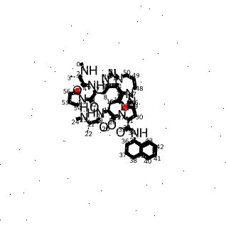 CN[C@@H](C)C(=O)N[C@@H](Cc1nnn2c1-c1c(C[C@H](NC(=O)[C@H](C)NC)C(=O)N3CCC[C@H]3C(=O)N[C@@H]3CCCc4ccccc43)nnn1CCC2)C(=O)N1CCCC1